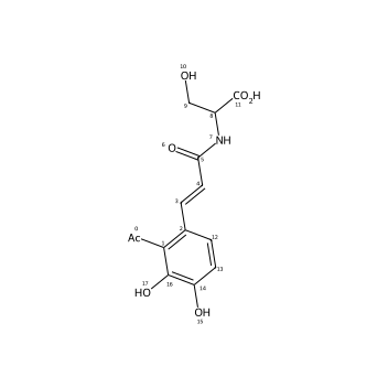 CC(=O)c1c(C=CC(=O)NC(CO)C(=O)O)ccc(O)c1O